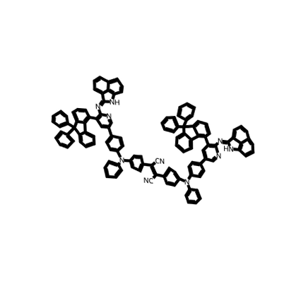 N#C/C(=C(/C#N)c1ccc(N(c2ccccc2)c2ccc(-c3cnc(/N=C4\Nc5cccc6cccc4c56)c(-c4cccc5c4-c4ccccc4C5(c4ccccc4)c4ccccc4)c3)cc2)cc1)c1ccc(N(c2ccccc2)c2ccc(-c3cnc(/N=C4\Nc5cccc6cccc4c56)c(-c4cccc5c4-c4ccccc4C5(c4ccccc4)c4ccccc4)c3)cc2)cc1